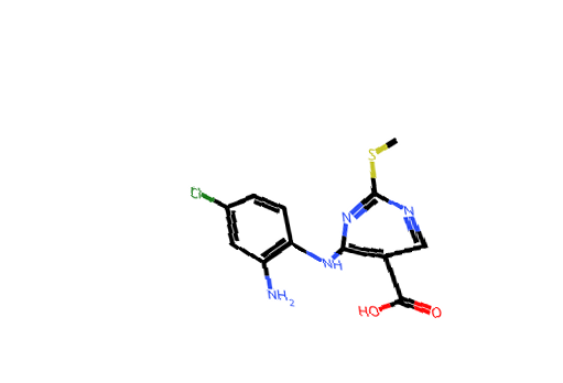 CSc1ncc(C(=O)O)c(Nc2ccc(Cl)cc2N)n1